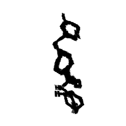 Cc1cncc(Sc2ccc(C(=O)N[C@H]3CN4CCC3CC4)cc2)c1